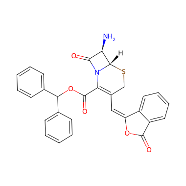 N[C@@H]1C(=O)N2C(C(=O)OC(c3ccccc3)c3ccccc3)=C(/C=C3/OC(=O)c4ccccc43)CS[C@@H]12